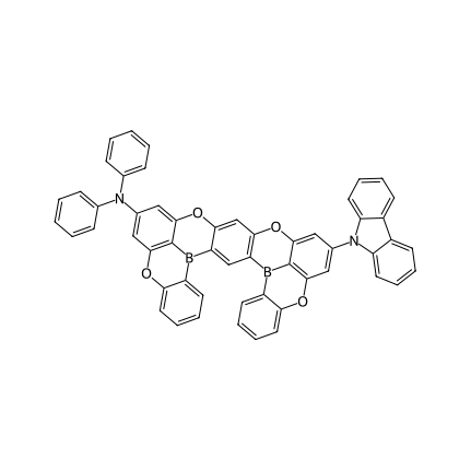 c1ccc(N(c2ccccc2)c2cc3c4c(c2)Oc2cc5c(cc2B4c2ccccc2O3)B2c3ccccc3Oc3cc(-n4c6ccccc6c6ccccc64)cc(c32)O5)cc1